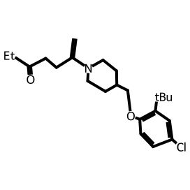 C=C(CCC(=O)CC)N1CCC(COc2ccc(Cl)cc2C(C)(C)C)CC1